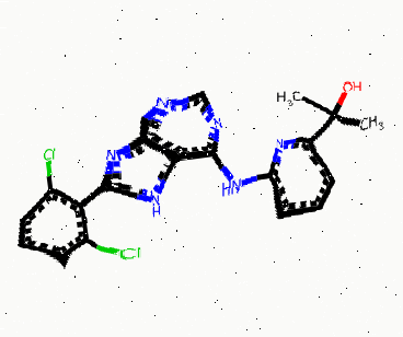 CC(C)(O)c1cccc(Nc2ncnc3nc(-c4c(Cl)cccc4Cl)[nH]c23)n1